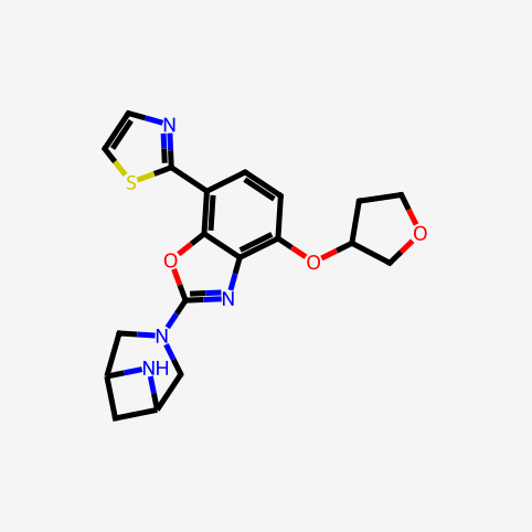 c1csc(-c2ccc(OC3CCOC3)c3nc(N4CC5CC(C4)N5)oc23)n1